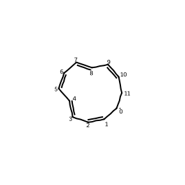 [CH]1\C=C/C=C/C=C\C=C\C=C/C1